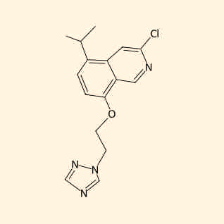 CC(C)c1ccc(OCCn2cncn2)c2cnc(Cl)cc12